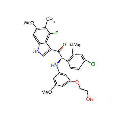 COc1cc(N[C@@H](C(=O)c2c[nH]c3cc(OC)c(C)c(F)c23)c2ccc(Cl)cc2OC)cc(OCCO)c1